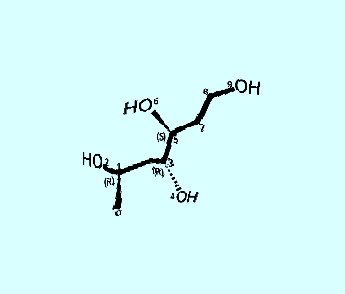 C[C@@H](O)[C@@H](O)[C@@H](O)CCO